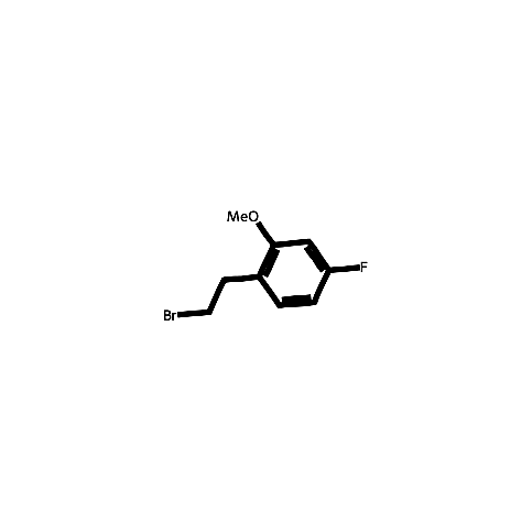 COc1cc(F)ccc1CCBr